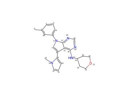 Cc1cccc(-n2cc(-c3cccn3C)c3c(NC4CCOCC4)ncnc32)c1